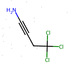 NC#CCC(Cl)(Cl)Cl